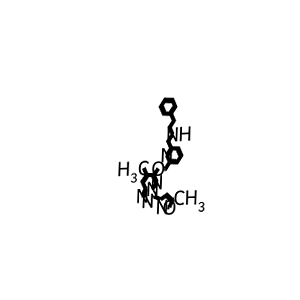 Cc1cc(-c2nnc3cc(C)c(OCc4cccc(CNCCc5ccccc5)n4)nn23)no1